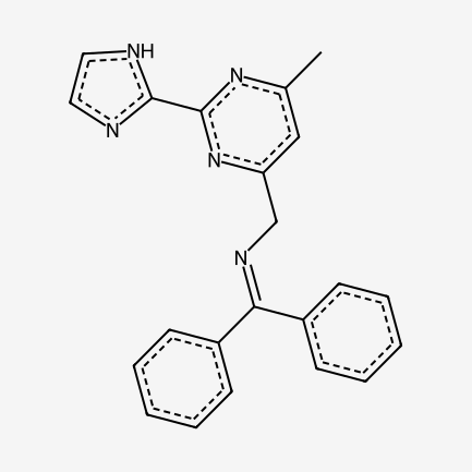 Cc1cc(CN=C(c2ccccc2)c2ccccc2)nc(-c2ncc[nH]2)n1